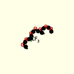 Cc1ccc(C(=O)c2ccc(Oc3ccc(C(F)(c4ccc(Oc5ccc(C(=O)c6ccc(-c7ccc(C)cc7C(=O)c7ccc(Oc8ccc(Oc9ccccc9)cc8)cc7)cc6)cc5)cc4)C(F)(F)F)cc3)cc2)cc1